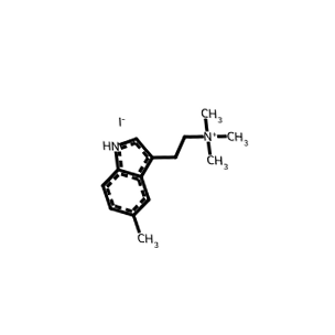 Cc1ccc2[nH]cc(CC[N+](C)(C)C)c2c1.[I-]